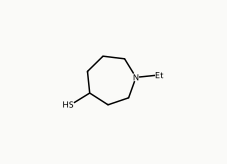 CCN1CCCC(S)CC1